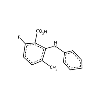 Cc1ccc(F)c(C(=O)O)c1Nc1ccccc1